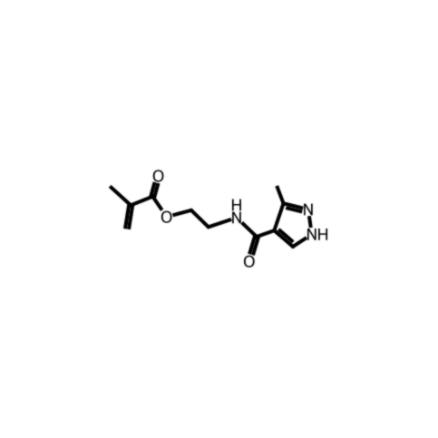 C=C(C)C(=O)OCCNC(=O)c1c[nH]nc1C